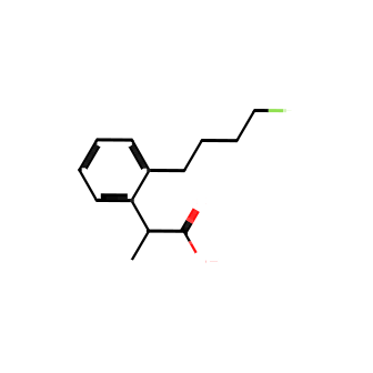 CC(C(=O)O)c1ccccc1CCCCF